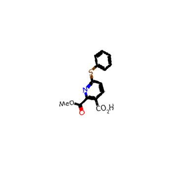 COC(=O)c1nc(Sc2ccccc2)ccc1C(=O)O